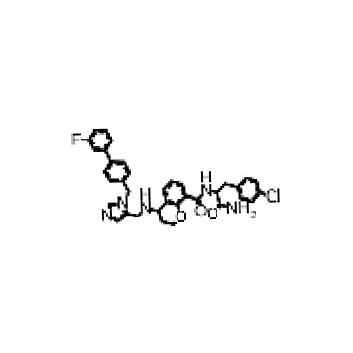 NC(=O)C(Cc1ccc(Cl)cc1)NC(=O)c1cccc2c1OCCC2NCc1cncn1Cc1ccc(-c2cccc(F)c2)cc1